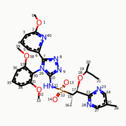 COc1cccc(-c2nnc(NS(=O)(=O)[C@@H](C)[C@@H](OC(C)C)c3ncc(C)cn3)n2-c2c(OC)cccc2OC)n1